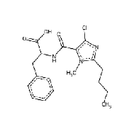 CCCCc1nc(Cl)c(C(=O)NC(Cc2ccccc2)C(=O)O)n1C